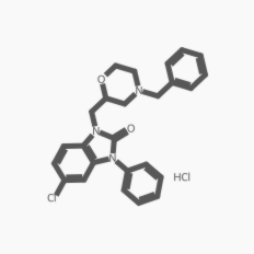 Cl.O=c1n(CC2CN(Cc3ccccc3)CCO2)c2ccc(Cl)cc2n1-c1ccccc1